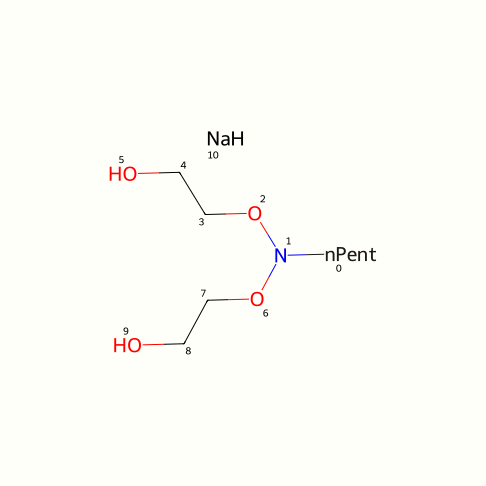 CCCCCN(OCCO)OCCO.[NaH]